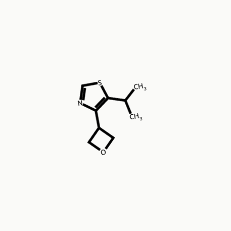 CC(C)c1scnc1C1COC1